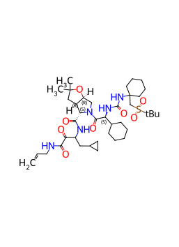 C=CCNC(=O)C(=O)C(CC1CC1)NC(=O)[C@@H]1[C@H]2CC(C)(C)O[C@H]2CN1C(=O)[C@@H](NC(=O)NC1(CS(=O)(=O)C(C)(C)C)CCCCC1)C1CCCCC1